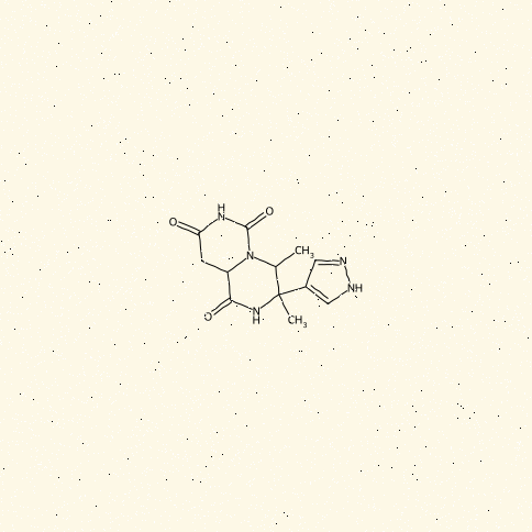 CC1N2C(=O)NC(=O)CC2C(=O)NC1(C)c1cn[nH]c1